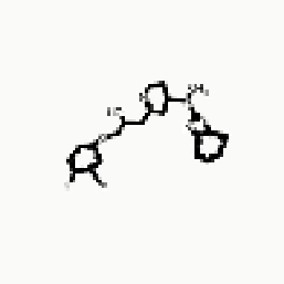 CN(c1nc2ccccc2s1)C1CCN=C(CC(O)COc2ccc(F)c(F)c2)C1